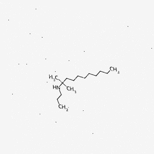 [CH2]CCNC(C)(C)CCCCCCCCC